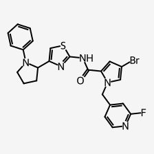 O=C(Nc1nc(C2CCCN2c2ccccc2)cs1)c1cc(Br)cn1Cc1ccnc(F)c1